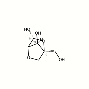 OC[C@@]12COC([C@H](O)O1)[C@H]2O